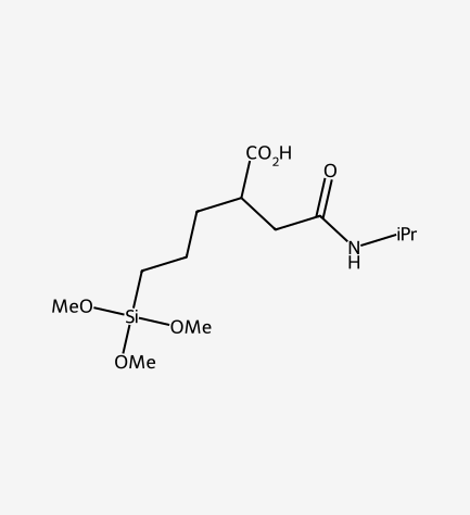 CO[Si](CCCC(CC(=O)NC(C)C)C(=O)O)(OC)OC